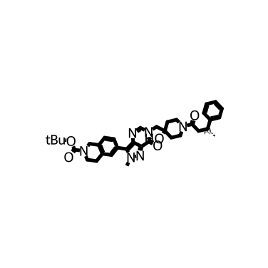 C[C@H](CC(=O)N1CCC(O)(Cn2cnc3c(-c4ccc5c(c4)CCN(C(=O)OC(C)(C)C)C5)n(C)nc3c2=O)CC1)c1ccccc1